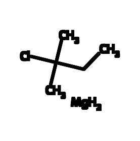 CCC(C)(C)Cl.[MgH2]